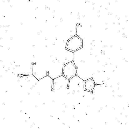 Cn1cc(-n2nc(-c3ccc(C(F)(F)F)cc3)cc(C(=O)NC[C@H](O)C(F)(F)F)c2=O)cn1